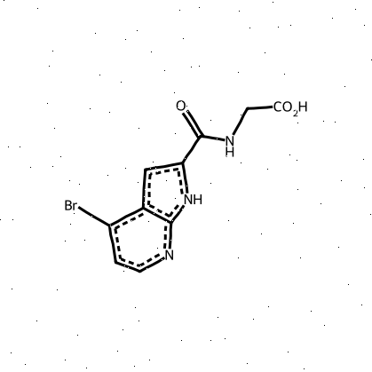 O=C(O)CNC(=O)c1cc2c(Br)ccnc2[nH]1